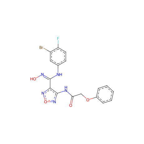 O=C(COc1ccccc1)Nc1nonc1/C(=N\O)Nc1ccc(F)c(Br)c1